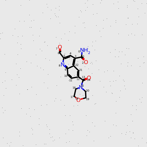 NC(=O)c1cc(C=O)nc2ccc(C(=O)N3CCOCC3)cc12